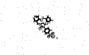 O=C1CN(Cc2ccncc2OCc2ccccc2)C(=O)N1c1ccc(S(=O)(=O)C(F)(F)F)cc1